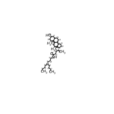 CCCCN(CCCC)CCCNC(=O)CCC(C)[C@H]1CCC2C3CCC4C[C@H](O)CC[C@]4(C)C3CC[C@@]21C